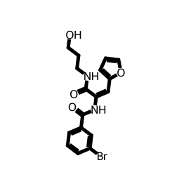 O=C(NCCCO)C(=Cc1ccco1)NC(=O)c1cccc(Br)c1